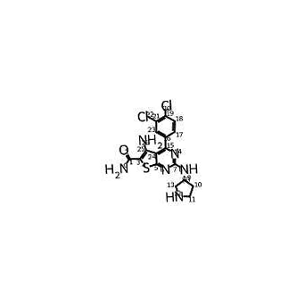 NC(=O)c1sc2nc(N[C@@H]3CCNC3)nc(-c3ccc(Cl)c(Cl)c3)c2c1N